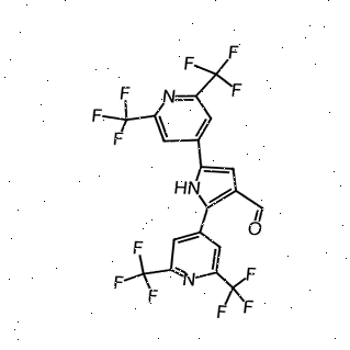 O=Cc1cc(-c2cc(C(F)(F)F)nc(C(F)(F)F)c2)[nH]c1-c1cc(C(F)(F)F)nc(C(F)(F)F)c1